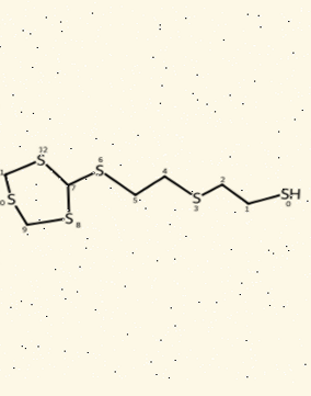 SCCSCCSC1SCSCS1